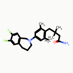 Cc1cc(N2CCCc3cc(F)c(F)cc3C2)cc(C)c1CC(C)(C)CC(N)=O